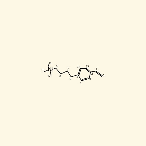 C=Cc1ccc(CCCC[N+](C)(C)C)cc1